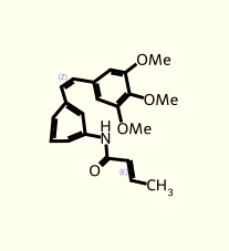 C/C=C/C(=O)Nc1cccc(/C=C\c2cc(OC)c(OC)c(OC)c2)c1